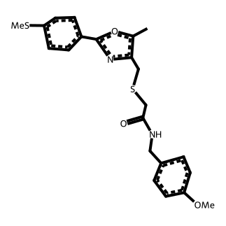 COc1ccc(CNC(=O)CSCc2nc(-c3ccc(SC)cc3)oc2C)cc1